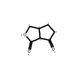 O=C1CCC2COC(=O)C12